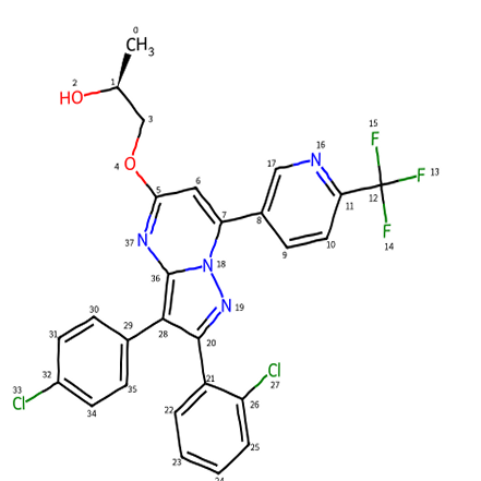 C[C@H](O)COc1cc(-c2ccc(C(F)(F)F)nc2)n2nc(-c3ccccc3Cl)c(-c3ccc(Cl)cc3)c2n1